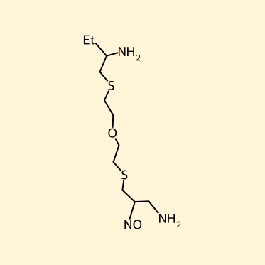 CCC(N)CSCCOCCSCC(CN)N=O